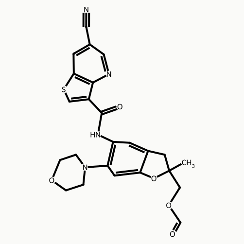 CC1(COC=O)Cc2cc(NC(=O)c3csc4cc(C#N)cnc34)c(N3CCOCC3)cc2O1